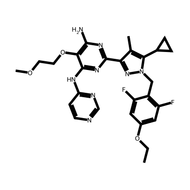 CCOc1cc(F)c(Cn2nc(-c3nc(N)c(OCCOC)c(Nc4ccncn4)n3)c(C)c2C2CC2)c(F)c1